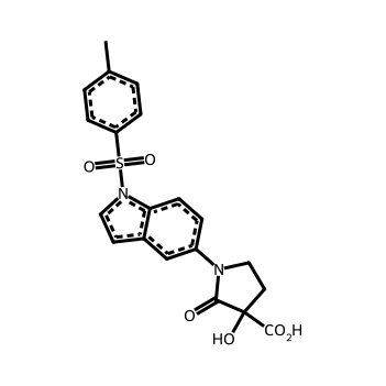 Cc1ccc(S(=O)(=O)n2ccc3cc(N4CCC(O)(C(=O)O)C4=O)ccc32)cc1